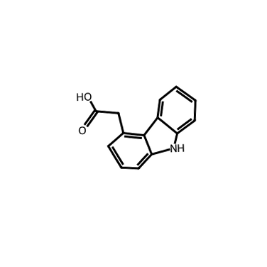 O=C(O)Cc1cccc2[nH]c3ccccc3c12